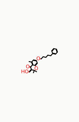 Cc1cc(OCCCCCc2ccccc2)cc2c1C(=O)C(=CO)C(C)(C)O2